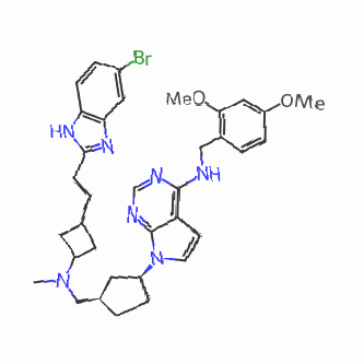 COc1ccc(CNc2ncnc3c2ccn3[C@H]2CC[C@@H](CN(C)C3CC(CCc4nc5cc(Br)ccc5[nH]4)C3)C2)c(OC)c1